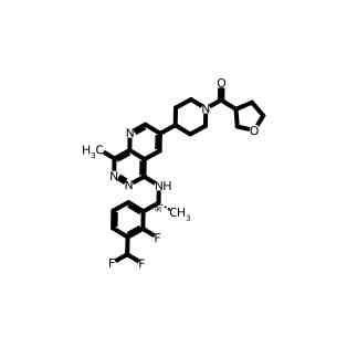 Cc1nnc(N[C@H](C)c2cccc(C(F)F)c2F)c2cc(C3CCN(C(=O)C4CCOC4)CC3)cnc12